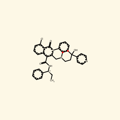 CC[C@H](NC(=O)c1c(CN2CCC(O)(c3ccncc3)CC2)n(-c2ccccc2)c(=O)c2c(Cl)cccc12)c1ccccc1